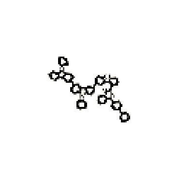 c1ccc(-c2ccc(-c3nc(-c4cccc5oc6ccc(-c7ccc8c(c7)c7cc(-c9ccc%10c(c9)c9ccccc9n%10-c9ccccc9)ccc7n8-c7ccccc7)cc6c45)nc4ccccc34)cc2)cc1